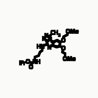 COCCOc1cc2nc(NCCCCNC(=O)OC(C)C)c3nnc(C)n3c2cc1OCCOC